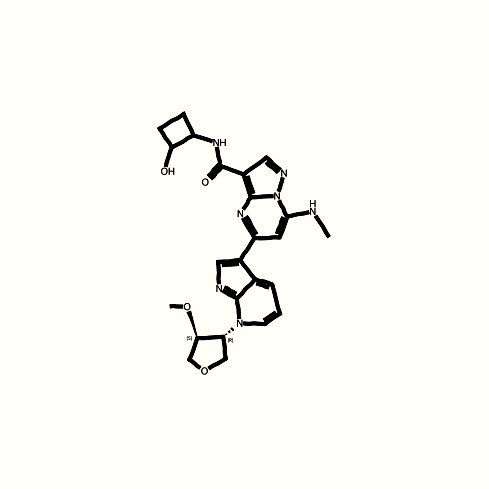 CNc1cc(-c2cnc3n([C@@H]4COC[C@H]4OC)cccc2-3)nc2c(C(=O)NC3CCC3O)cnn12